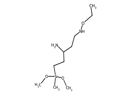 CCONCCC(N)CC[Si](C)(OC)OC